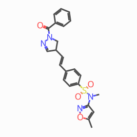 Cc1cc(N(C)S(=O)(=O)c2ccc(/C=C/C3C=NN(C(=O)c4ccccc4)C3)cc2)no1